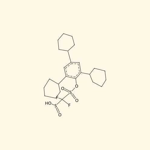 O=S(O)C(F)(F)S(=O)(=O)Oc1c(C2CCCCC2)cc(C2CCCCC2)cc1C1CCCCC1